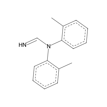 Cc1ccccc1N(C=N)c1ccccc1C